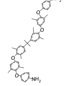 Cc1cc(Oc2c(C)cc(C(C)(C)c3cc(C)c(Oc4cc(C)c(Oc5ccc(N)cc5)c(C)c4)c(C)c3)cc2C)cc(C)c1Oc1ccc(N)cc1